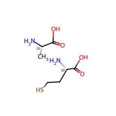 C[C@H](N)C(=O)O.N[C@@H](CCS)C(=O)O